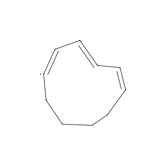 [C]1=C/C=C/C=C\CCCC\1